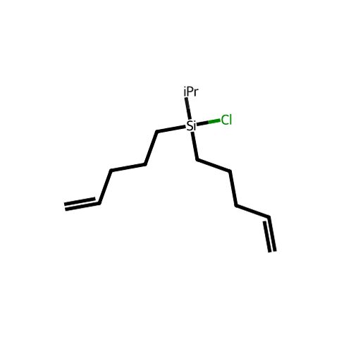 C=CCCC[Si](Cl)(CCCC=C)C(C)C